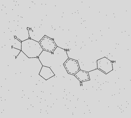 CN1C(=O)C(F)(F)CN(C2CCCC2)c2nc(Nc3ccc4[nH]cc(C5=CCNCC5)c4c3)ncc21